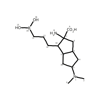 CN(C)C1CC2CC(N)(C(=O)O)C(CCCB(O)O)C2C1